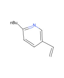 C=Cc1ccc(CCCC)nc1